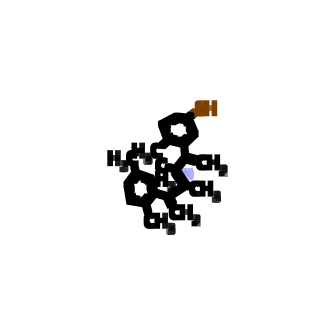 C=C(/C(C)=C(\C)C(=C)c1cc(S)ccc1C)c1cc(C)ccc1C